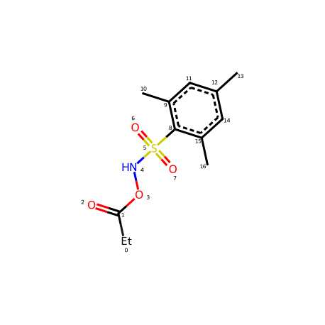 CCC(=O)ONS(=O)(=O)c1c(C)cc(C)cc1C